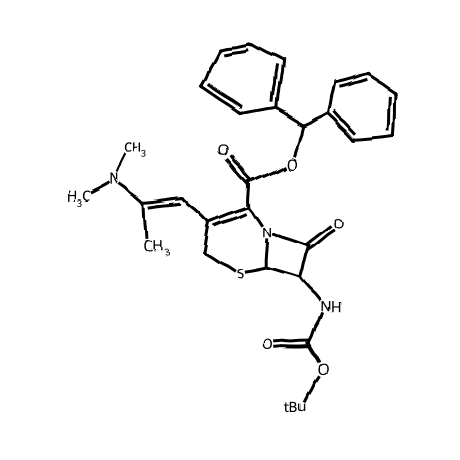 C/C(=C\C1=C(C(=O)OC(c2ccccc2)c2ccccc2)N2C(=O)C(NC(=O)OC(C)(C)C)C2SC1)N(C)C